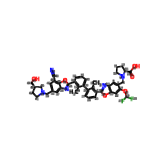 Cc1c(-c2nc3cc(CN4CCC[C@H]4C(=O)O)c(OC(F)F)cc3o2)cccc1-c1cccc(-c2nc3cc(CN4CC[C@@H](CO)C4)cc(C#N)c3o2)c1C